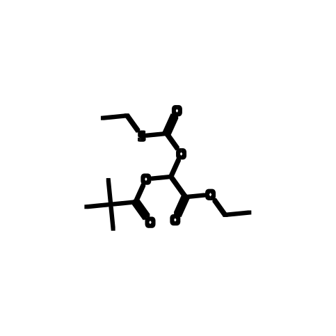 CCOC(=O)C(OC(=O)SCC)OC(=O)C(C)(C)C